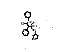 CCC1=C(c2ccccc2)C(C)(N=Nc2cc[nH]n2)NN1c1ccccc1